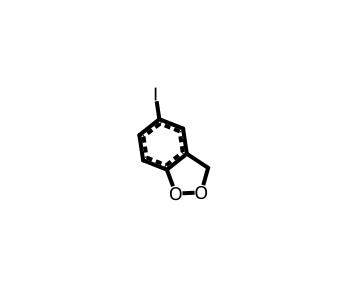 Ic1ccc2c(c1)COO2